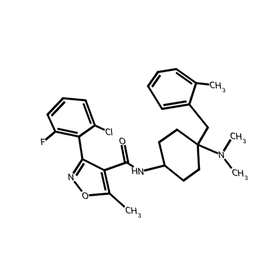 Cc1ccccc1CC1(N(C)C)CCC(NC(=O)c2c(-c3c(F)cccc3Cl)noc2C)CC1